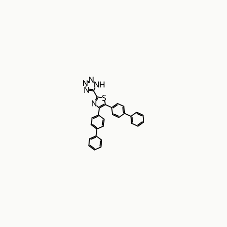 c1ccc(-c2ccc(-c3nc(-c4nnn[nH]4)sc3-c3ccc(-c4ccccc4)cc3)cc2)cc1